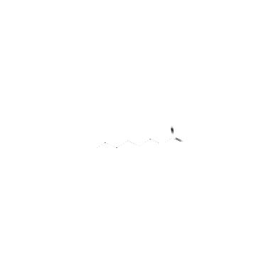 O=[SH](=O)OCCCCCO